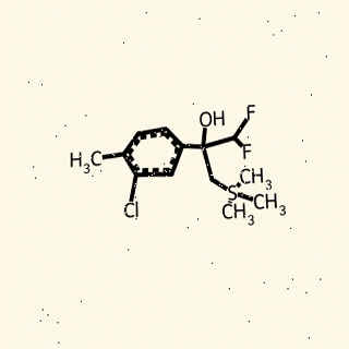 Cc1ccc(C(O)(CS(C)(C)C)C(F)F)cc1Cl